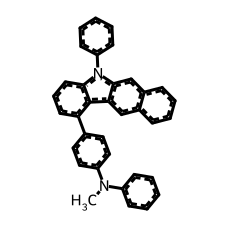 CN(c1ccccc1)c1ccc(-c2cccc3c2c2cc4ccccc4cc2n3-c2ccccc2)cc1